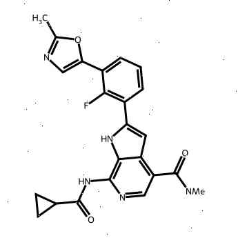 CNC(=O)c1cnc(NC(=O)C2CC2)c2[nH]c(-c3cccc(-c4cnc(C)o4)c3F)cc12